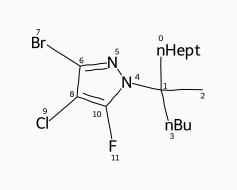 CCCCCCCC(C)(CCCC)n1nc(Br)c(Cl)c1F